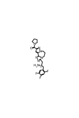 N[C@H](Cc1cc(F)c(F)cc1F)Cc1nnc2n1CCCn1nc(C(=O)N3CCCC3)cc1-2